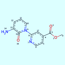 COC(=O)c1ccnc(-n2cccc(N)c2=O)c1